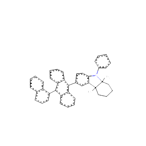 CC12CCCCC1(C)N(c1ccccc1)c1ccc(-c3c4ccccc4c(-c4cccc5ccccc45)c4ccccc34)cc12